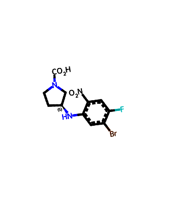 O=C(O)N1CC[C@H](Nc2cc(Br)c(F)cc2[N+](=O)[O-])C1